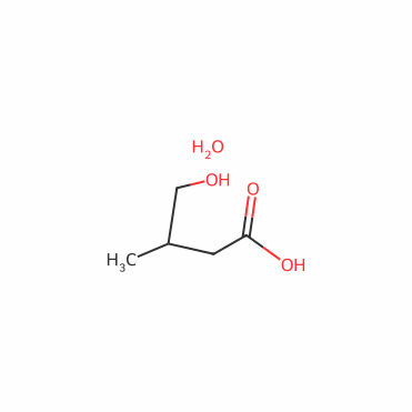 CC(CO)CC(=O)O.O